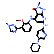 COc1c(Nc2cc(Nc3ccc(N4CCCCC4)cn3)nc3[nH]n(C)c(=O)c23)cccc1-c1ncn(C)n1